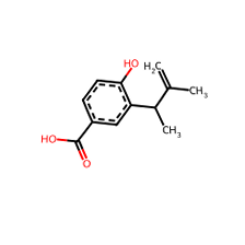 C=C(C)C(C)c1cc(C(=O)O)ccc1O